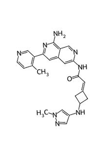 Cc1ccncc1-c1cc2cc(NC(=O)C=C3CC(Nc4cnn(C)c4)C3)ncc2c(N)n1